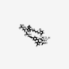 CC(=N)N1C(=N)[C@H](CC(=O)O)N=C(c2ccc(C#CCNC(=O)[C@H](CCCNC(N)=O)NC(=O)C3(C(=O)NCCCCCN4C(=O)C=CC4=O)CCC3)cc2)c2c1sc(C)c2C